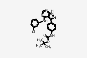 CC(C)(C)OC(=O)Nc1ccc(-c2n[nH]c3ncnc(Nc4cccc(Cl)c4)c23)cc1